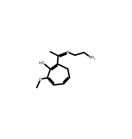 COC1=CC=CCC(/C(C)=N\CCN)=C1O